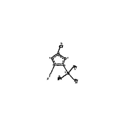 CC(C)[Si](c1oc(Cl)cc1I)(C(C)C)C(C)C